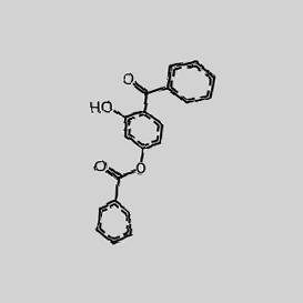 O=C(Oc1ccc(C(=O)c2ccccc2)c(O)c1)c1ccccc1